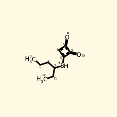 CCCC(Bc1cc(=O)c1=O)CC